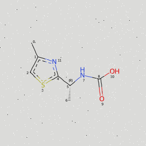 Cc1csc([C@@H](C)NC(=O)O)n1